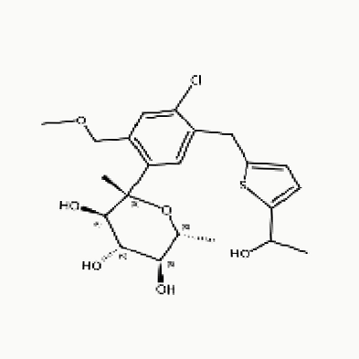 COCc1cc(Cl)c(Cc2ccc(C(C)O)s2)cc1[C@]1(C)O[C@H](C)[C@@H](O)[C@H](O)[C@H]1O